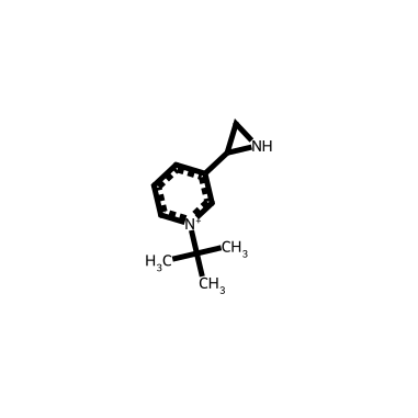 CC(C)(C)[n+]1cccc(C2CN2)c1